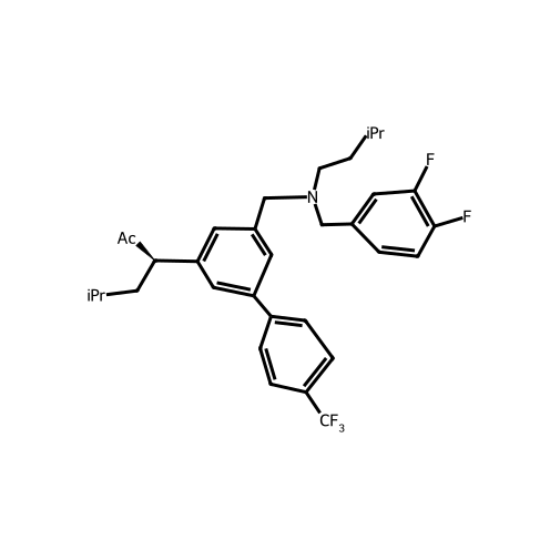 CC(=O)[C@H](CC(C)C)c1cc(CN(CCC(C)C)Cc2ccc(F)c(F)c2)cc(-c2ccc(C(F)(F)F)cc2)c1